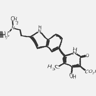 Cc1c(-c2ccc3[nH]c(CCN(C)C)cc3c2)[nH]c(=O)c(C(=O)O)c1O